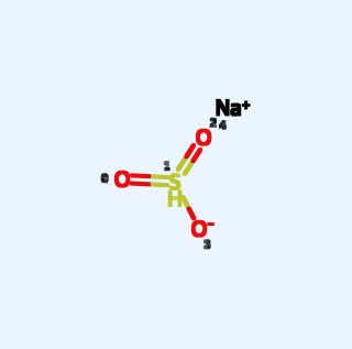 O=[SH](=O)[O-].[Na+]